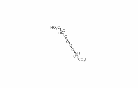 O=C(O)CCC(=O)NCCOCCOCCOCCOCCNC(=O)CCC(=O)O